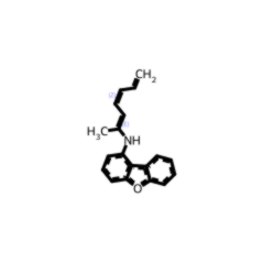 C=C/C=C\C=C(/C)Nc1cccc2oc3ccccc3c12